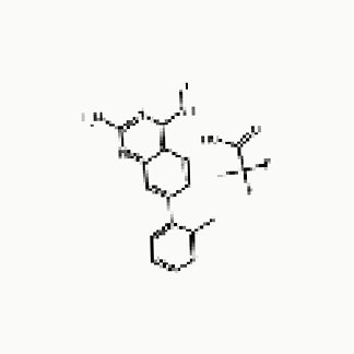 CCNc1nc(N)nc2cc(-c3ccccc3C)ccc12.O=C(O)C(F)(F)F